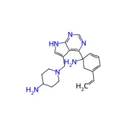 C=CC1=CC=CC(N)(c2ncnc3[nH]cc(CN4CCC(N)CC4)c23)C1